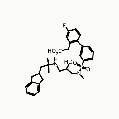 CN(CC(O)CNC(C)(C)CC1Cc2ccccc2C1)S(=O)(=O)c1cccc(-c2ccc(F)cc2CC(=O)O)c1